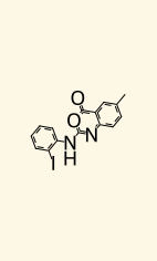 Cc1ccc2nc(Nc3ccccc3I)oc(=O)c2c1